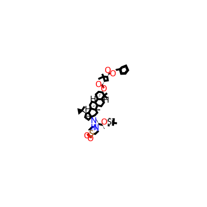 C[C@@H](O[Si](C)(C)C(C)(C)C)[C@@H](CN[C@]12CC[C@@H](C3(C)CC3)[C@@H]1[C@H]1CC[C@@H]3[C@@]4(C)CC[C@H](OC(=O)[C@H]5C[C@@H](C(=O)OCc6ccccc6)C5(C)C)C(C)(C)[C@@H]4CC[C@@]3(C)[C@]1(C)CC2)N1CCS(=O)(=O)CC1